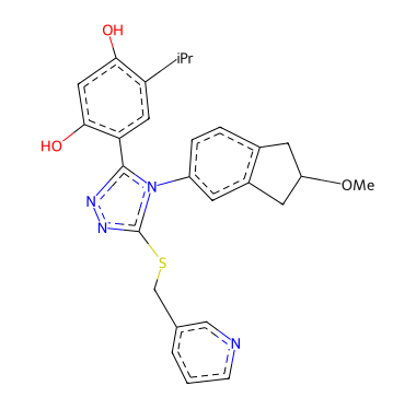 COC1Cc2ccc(-n3c(SCc4cccnc4)nnc3-c3cc(C(C)C)c(O)cc3O)cc2C1